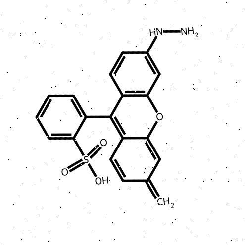 C=c1ccc2c(c1)Oc1cc(NN)ccc1C=2c1ccccc1S(=O)(=O)O